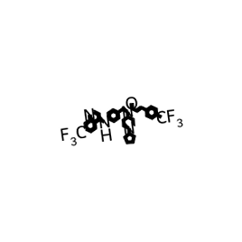 O=C(C=Cc1ccc(C(F)(F)F)cc1)N(Cc1ccc(Nc2ccnc3cc(C(F)(F)F)ccc23)cc1)C1CCN(C2CCCC2)CC1